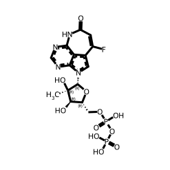 C[C@@]1(O)[C@H](O)[C@@H](COP(=O)(O)OP(=O)(O)O)O[C@H]1n1cc2c3c(ncnc31)NC(=O)C=C2F